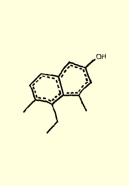 CCc1c(C)ccc2cc(O)cc(C)c12